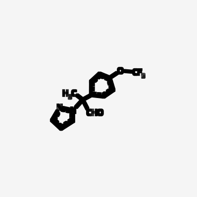 CC(C=O)(c1ccc(OC(F)(F)F)cc1)n1cccn1